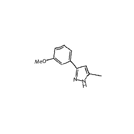 COc1cccc(-c2cc(C)[nH]n2)c1